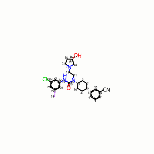 N#Cc1cccc([C@H]2CC[C@@H](N(CCN3CC[C@@H](O)C3)C(=O)Nc3cc(Cl)cc(I)c3)CC2)c1